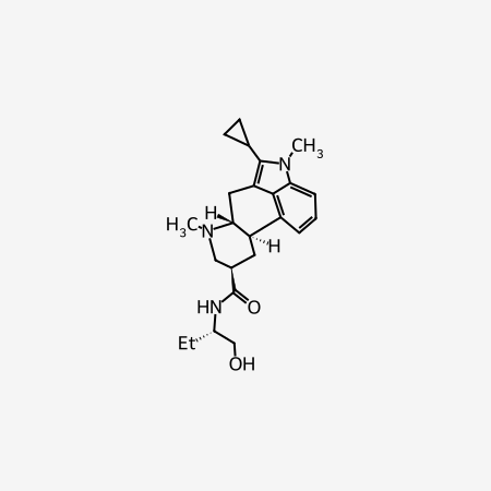 CC[C@@H](CO)NC(=O)[C@@H]1C[C@@H]2c3cccc4c3c(c(C3CC3)n4C)C[C@H]2N(C)C1